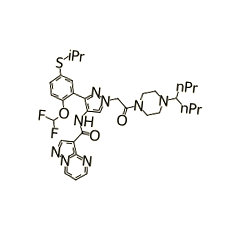 CCCC(CCC)N1CCN(C(=O)Cn2cc(NC(=O)c3cnn4cccnc34)c(-c3cc(SC(C)C)ccc3OC(F)F)n2)CC1